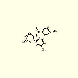 Cc1ccc(C(=O)n2c(C)c(CC(=O)O)c3cc(C)ccc32)cc1